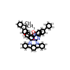 CC1(C)c2ccccc2-c2ccc(-c3cc(-n4c5ccccc5c5ccc6c7ccccc7n(-c7nc(-c8ccccc8)nc(-c8ccc(-c9ccccc9)cc8)n7)c6c54)cc4c3oc3ccccc34)cc21